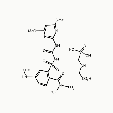 COc1cc(OC)nc(NC(=O)NS(=O)(=O)c2cc(NC=O)ccc2C(=O)N(C)C)n1.O=C(O)CNCP(=O)(O)O